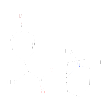 CC(C(=O)O[C@]12CCC[C@H](CC1)N2C)c1ccc(Br)cc1